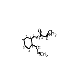 C=COC1CCCCC1COC(=O)C=C